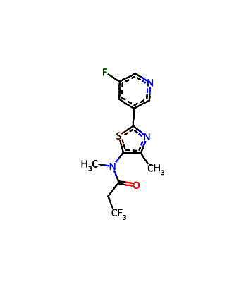 Cc1nc(-c2cncc(F)c2)sc1N(C)C(=O)CC(F)(F)F